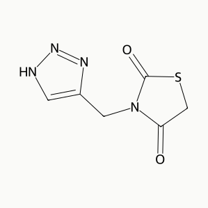 O=C1CSC(=O)N1Cc1c[nH]nn1